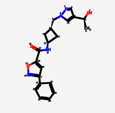 C[C@H](O)c1cnn(C[C@H]2C[C@H](NC(=O)c3cc(-c4ccccc4)no3)C2)c1